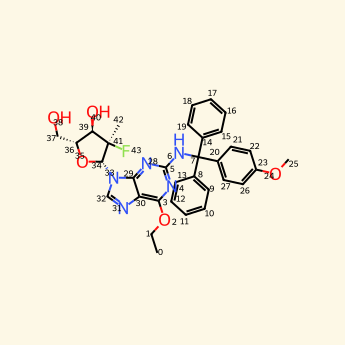 CCOc1nc(NC(c2ccccc2)(c2ccccc2)c2ccc(OC)cc2)nc2c1ncn2[C@@H]1O[C@H](CO)[C@@H](O)[C@@]1(C)F